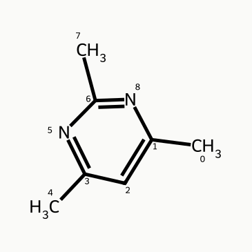 Cc1cc(C)nc(C)n1